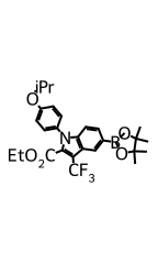 CCOC(=O)c1c(C(F)(F)F)c2cc(B3OC(C)(C)C(C)(C)O3)ccc2n1-c1ccc(OC(C)C)cc1